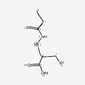 CCC(=O)NNC(CS)C(=O)O